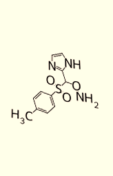 Cc1ccc(S(=O)(=O)C(ON)c2ncc[nH]2)cc1